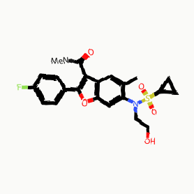 CNC(=O)c1c(-c2ccc(F)cc2)oc2cc(N(CCO)S(=O)(=O)C3CC3)c(C)cc12